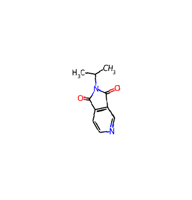 CC(C)N1C(=O)c2ccncc2C1=O